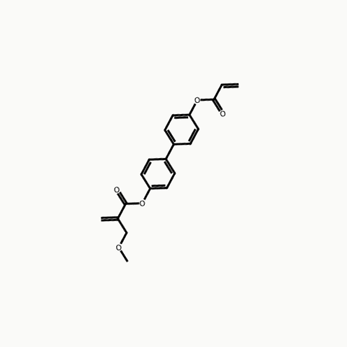 C=CC(=O)Oc1ccc(-c2ccc(OC(=O)C(=C)COC)cc2)cc1